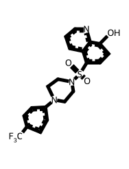 O=S(=O)(c1ccc(O)c2ncccc12)N1CCN(c2ccc(C(F)(F)F)cc2)CC1